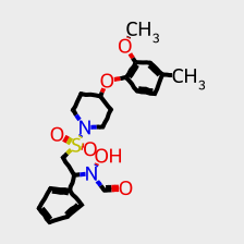 COc1cc(C)ccc1OC1CCN(S(=O)(=O)CC(c2ccccc2)N(O)C=O)CC1